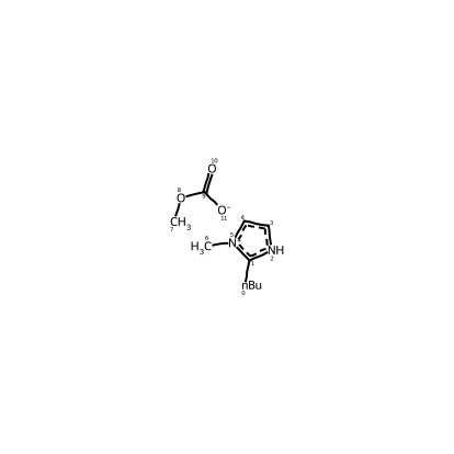 CCCCc1[nH]cc[n+]1C.COC(=O)[O-]